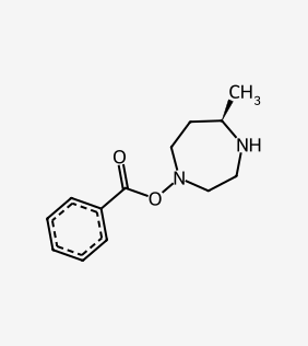 C[C@@H]1CCN(OC(=O)c2ccccc2)CCN1